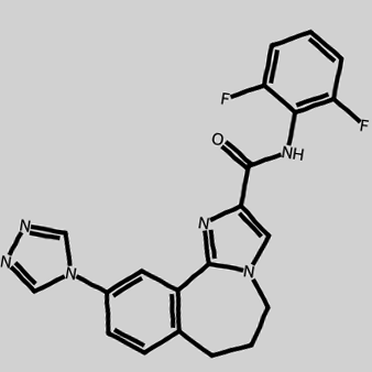 O=C(Nc1c(F)cccc1F)c1cn2c(n1)-c1cc(-n3cnnc3)ccc1CCC2